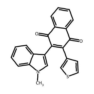 Cn1cc(C2=C(c3ccsc3)C(=O)c3ccccc3C2=O)c2ccccc21